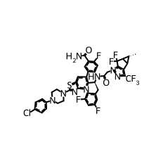 C[C@@H]1C2c3c(C(F)(F)F)nn(CC(=O)N[C@@H](Cc4cc(F)cc(F)c4)c4nc5nc(N6CCN(c7ccc(Cl)cc7)CC6)sc5cc4-c4ccc(F)c(C(N)=O)c4)c3C(F)(F)C21